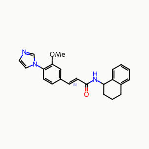 COc1cc(/C=C/C(=O)NC2CCCc3ccccc32)ccc1-n1ccnc1